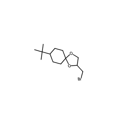 CC(C)(C)C1CCC2(CC1)OCC(CBr)O2